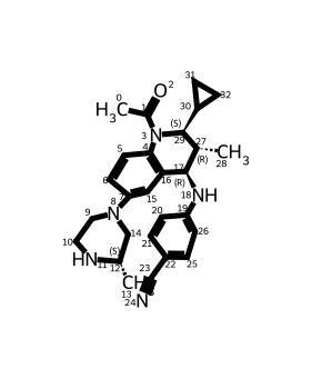 CC(=O)N1c2ccc(N3CCN[C@@H](C)C3)cc2[C@H](Nc2ccc(C#N)cc2)[C@@H](C)[C@@H]1C1CC1